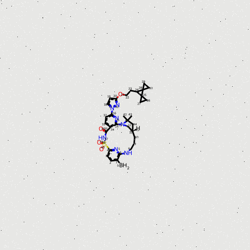 Bc1ccc2nc1NCCC[C@@H]1CN(c3nc(-n4ccc(OCCC5C6(CC6)C56CC6)n4)ccc3C(=O)NS2(=O)=O)C(C)(C)C1